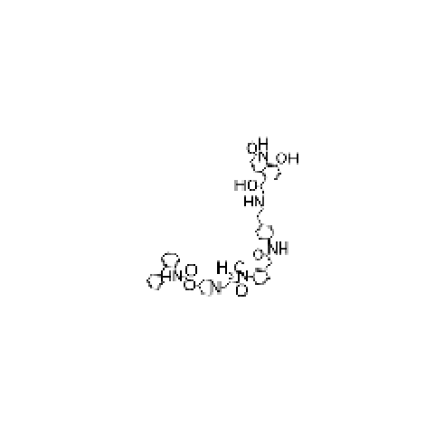 CN(C(=O)CCN1CCC(OC(=O)Nc2ccccc2-c2ccccc2)CC1)c1cccc(CC(=O)Nc2ccc(CCNC[C@H](O)c3ccc(O)c4[nH]c(=O)ccc34)cc2)c1